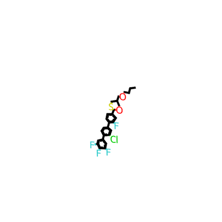 CCCCOCC1COC(c2ccc(-c3ccc(-c4cc(F)c(F)c(F)c4)c(Cl)c3)c(F)c2)SC1